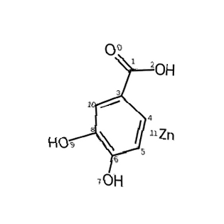 O=C(O)c1ccc(O)c(O)c1.[Zn]